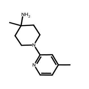 Cc1ccnc(N2CCC(C)(N)CC2)c1